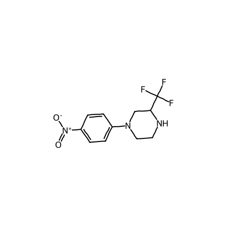 O=[N+]([O-])c1ccc(N2CCNC(C(F)(F)F)C2)cc1